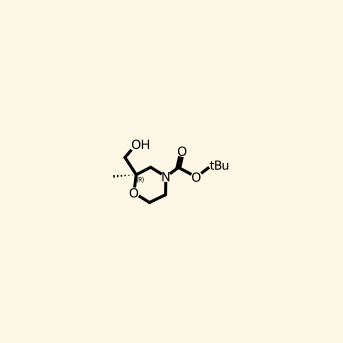 CC(C)(C)OC(=O)N1CCO[C@@](C)(CO)C1